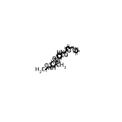 C=CC(=O)NC1CCN(S(=O)(=O)c2ccc(NC(=O)c3ccc(CN4CCCC4)o3)cc2)C(C)C1